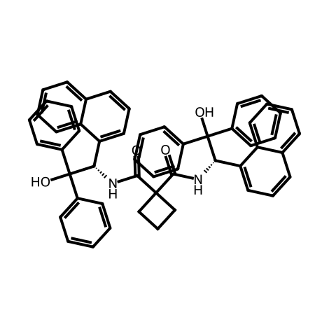 O=C(N[C@@H](c1cccc2ccccc12)C(O)(c1ccccc1)c1ccccc1)C1(C(=O)N[C@@H](c2cccc3ccccc23)C(O)(c2ccccc2)c2ccccc2)CCC1